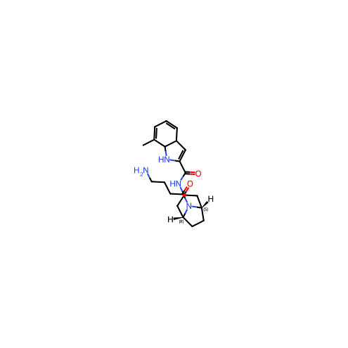 CC1=CC=CC2C=C(C(=O)NC3C[C@H]4CC[C@@H](C3)N4C(=O)CCCN)NC12